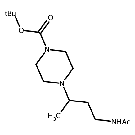 CC(=O)NCCC(C)N1CCN(C(=O)OC(C)(C)C)CC1